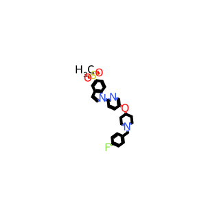 CS(=O)(=O)c1ccc2c(ccn2-c2ccc(OC3CCN(Cc4ccc(F)cc4)CC3)cn2)c1